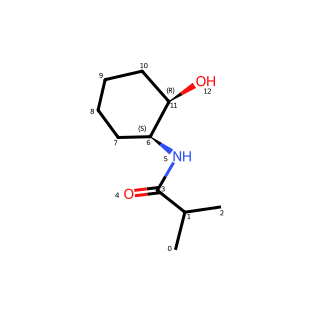 CC(C)C(=O)N[C@H]1CCCC[C@H]1O